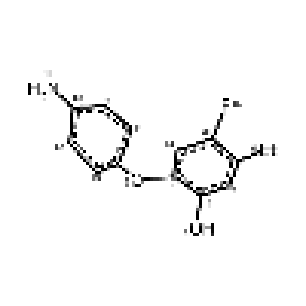 CCc1cc(O)c(Oc2ccc(N)cc2)cc1F